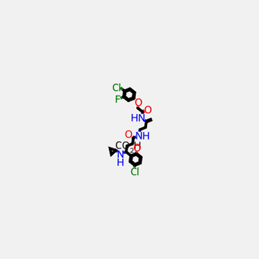 C=C(CCNC(=O)C1CC(NC2(C(=O)O)CC2)c2cc(Cl)ccc2O1)NC(=O)COc1ccc(Cl)c(F)c1